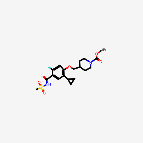 CC(C)(C)OC(=O)N1CCC(COc2cc(F)c(C(=O)NS(C)(=O)=O)cc2C2CC2)CC1